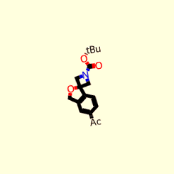 CC(=O)c1ccc2c(c1)COC21CN(C(=O)OC(C)(C)C)C1